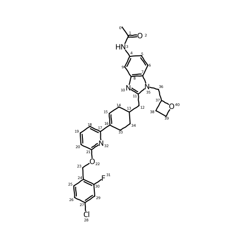 CC(=O)Nc1ccc2c(c1)nc(CC1CC=C(c3cccc(OCc4ccc(Cl)cc4F)n3)CC1)n2CC1CCO1